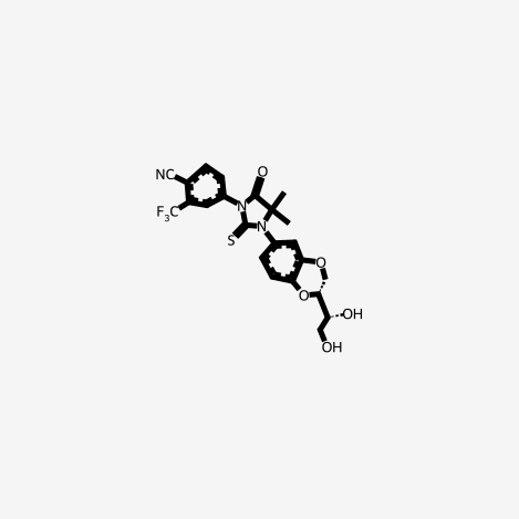 CC1(C)C(=O)N(c2ccc(C#N)c(C(F)(F)F)c2)C(=S)N1c1ccc2c(c1)OC[C@H]([C@H](O)CO)O2